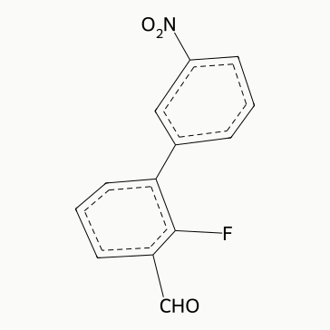 O=Cc1cccc(-c2cccc([N+](=O)[O-])c2)c1F